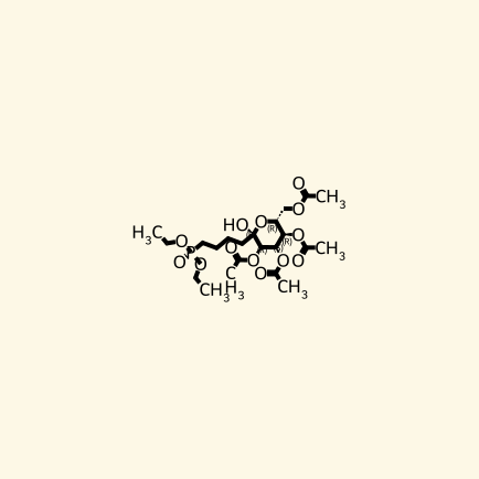 CCOP(=O)(CCCC[C@@]1(O)O[C@H](COC(C)=O)[C@@H](OC(C)=O)[C@H](OC(C)=O)[C@H]1OC(C)=O)OCC